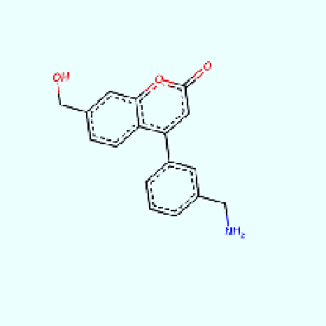 NCc1cccc(-c2cc(=O)oc3cc(CO)ccc23)c1